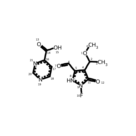 COC(C)c1c(C=O)[nH]n(F)c1=O.O=C(O)c1ccncn1